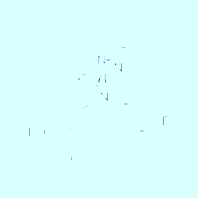 Cc1cc(C)cc(-c2ccc3c(c2)c2ccccc2n3-c2cc(-c3cccc(F)c3)ccc2-c2nc(-c3ccccc3)nc(-c3ccccc3)n2)c1